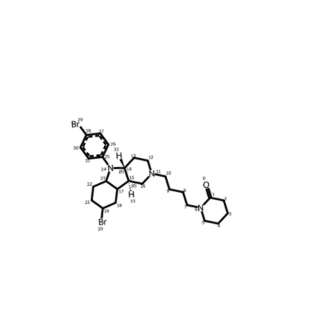 O=C1CCCCN1CCCCN1CC[C@@H]2[C@@H](C1)C1CC(Br)CCC1N2c1ccc(Br)cc1